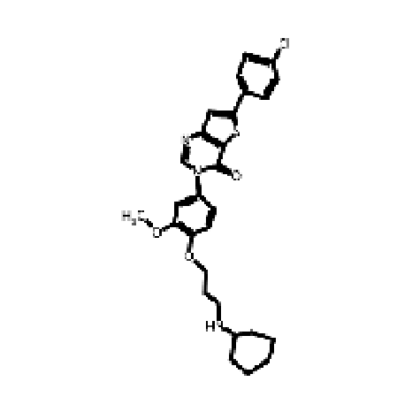 COc1cc(-n2cnc3cc(-c4ccc(Cl)cc4)sc3c2=O)ccc1OCCCNC1CCCCC1